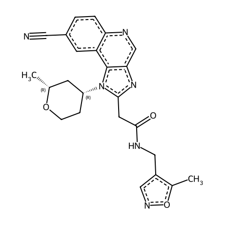 Cc1oncc1CNC(=O)Cc1nc2cnc3ccc(C#N)cc3c2n1[C@@H]1CCO[C@H](C)C1